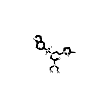 Cc1ccn(CCN(CC(=O)N(CC(C)C)CC(C)C)S(=O)(=O)c2ccc3occc3c2)n1